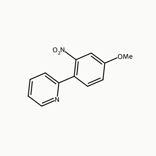 COc1ccc(-c2ccccn2)c([N+](=O)[O-])c1